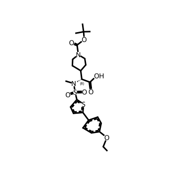 CCOc1ccc(-c2ccc(S(=O)(=O)N(C)[C@@H](C(=O)O)C3CCN(C(=O)OC(C)(C)C)CC3)s2)cc1